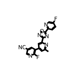 Cc1cc(-c2cc(C#N)cnc2F)cc(-c2noc(-c3ccc(F)cn3)n2)n1